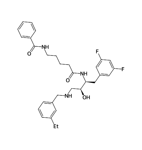 CCc1cccc(CNC[C@H](O)[C@H](Cc2cc(F)cc(F)c2)NC(=O)CCCCNC(=O)c2ccccc2)c1